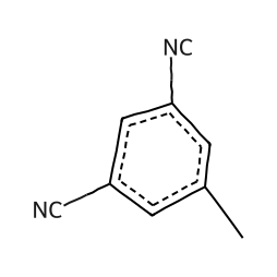 [C-]#[N+]c1cc(C)cc(C#N)c1